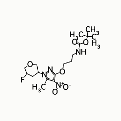 Cc1c([N+](=O)[O-])c(OCCCNC(=O)OC(C)(C)C)nn1C1COCC(F)C1